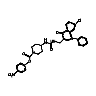 O=C(NCc1cn(-c2ccccc2)c2cc(Cl)ccc2c1=O)NC1CCN(C(=O)Oc2ccc([N+](=O)[O-])cc2)CC1